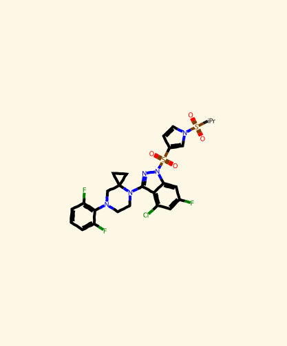 CC(C)S(=O)(=O)n1ccc(S(=O)(=O)n2nc(N3CCN(c4c(F)cccc4F)CC34CC4)c3c(Cl)cc(F)cc32)c1